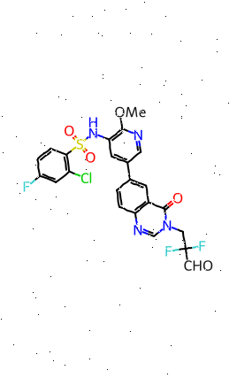 COc1ncc(-c2ccc3ncn(CC(F)(F)C=O)c(=O)c3c2)cc1NS(=O)(=O)c1ccc(F)cc1Cl